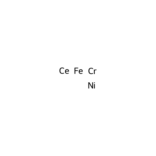 [Ce].[Cr].[Fe].[Ni]